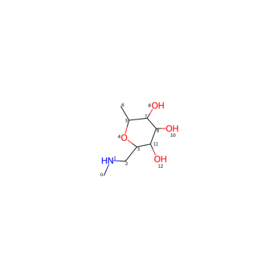 CNCC1OC(C)C(O)C(O)C1O